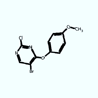 COc1ccc(Oc2nc(Cl)ncc2Br)cc1